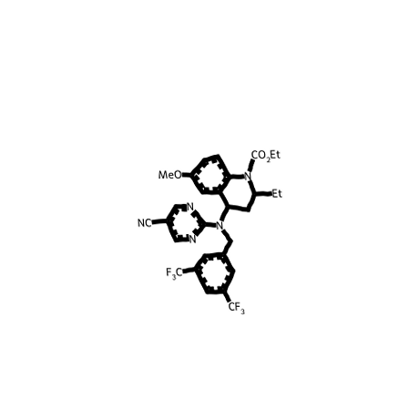 CCOC(=O)N1c2ccc(OC)cc2C(N(Cc2cc(C(F)(F)F)cc(C(F)(F)F)c2)c2ncc(C#N)cn2)CC1CC